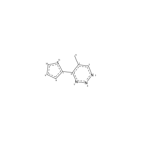 Cc1cnnnc1-c1cccs1